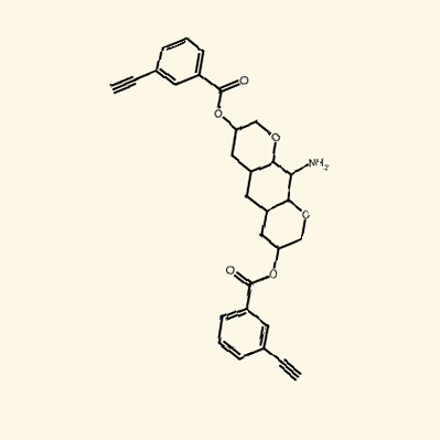 C#Cc1cccc(C(=O)OC2COC3C(C2)CC2CC(OC(=O)c4cccc(C#C)c4)COC2C3N)c1